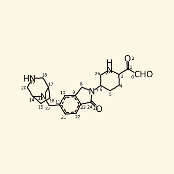 O=CC(=O)C1CCC(N2Cc3cc(CN4C5CCC4CNC5)ccc3C2=O)CN1